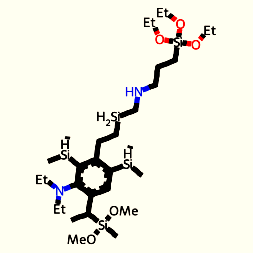 CCO[Si](CCCNC[SiH2]CCc1c([SiH](C)C)cc(C(C)[Si](C)(OC)OC)c(N(CC)CC)c1[SiH](C)C)(OCC)OCC